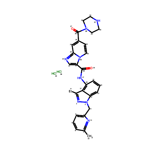 CCc1nn(Cc2cccc(C)n2)c2cccc(NC(=O)c3cnc4cc(C(=O)N5CCNCC5)ccn34)c12.Cl.Cl